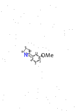 COc1cccc(C2=NCCC2)c1